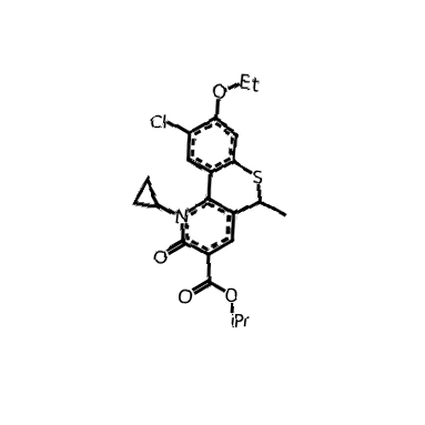 CCOc1cc2c(cc1Cl)-c1c(cc(C(=O)OC(C)C)c(=O)n1C1CC1)C(C)S2